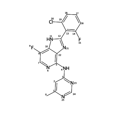 Cc1cc(Nc2ncc(F)c3[nH]c(-c4c(F)cccc4Cl)nc23)ncn1